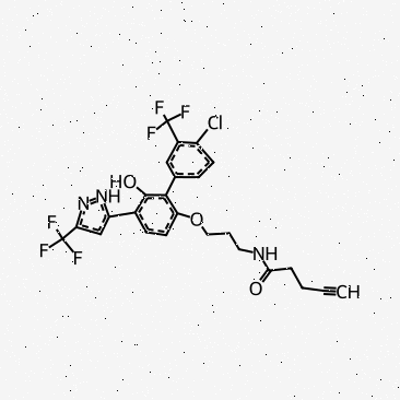 C#CCCC(=O)NCCCOc1ccc(-c2cc(C(F)(F)F)n[nH]2)c(O)c1-c1ccc(Cl)c(C(F)(F)F)c1